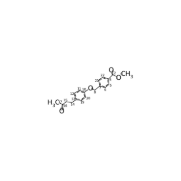 COC(=O)c1ccc(COc2ccc(CCC(C)=O)cc2)cc1